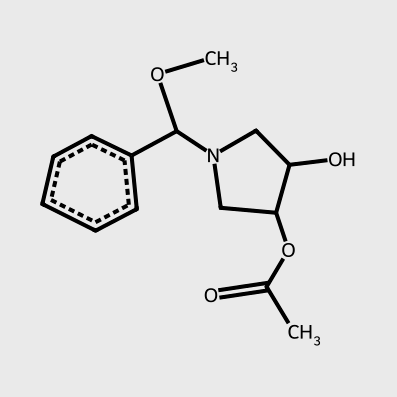 COC(c1ccccc1)N1CC(O)C(OC(C)=O)C1